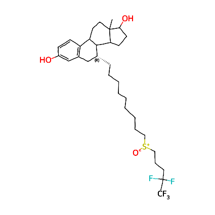 CC12CCC3c4ccc(O)cc4C[C@@H](CCCCCCCCC[S+]([O-])CCCC(F)(F)C(F)(F)F)C3C1CCC2O